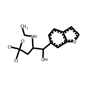 CCNC(CC(Cl)(Cl)Cl)C(O)c1ccc2ccoc2c1